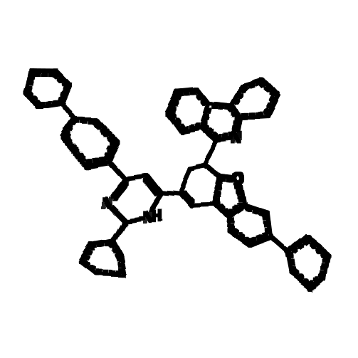 C1=C(C2=CC(c3ccc(-c4ccccc4)cc3)=NC(c3ccccc3)N2)CC(c2nc3ccccc3c3ccccc23)c2oc3cc(-c4ccccc4)ccc3c21